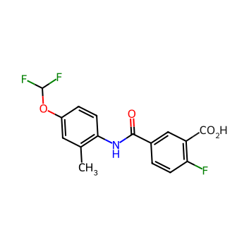 Cc1cc(OC(F)F)ccc1NC(=O)c1ccc(F)c(C(=O)O)c1